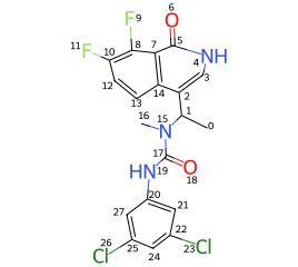 CC(c1c[nH]c(=O)c2c(F)c(F)ccc12)N(C)C(=O)Nc1cc(Cl)cc(Cl)c1